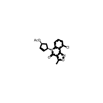 CC(=O)O[C@@H]1C=C[C@H](n2c(=O)c3c(C)onc3c3c(Cl)cccc32)C1